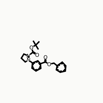 CC(C)(C)OC(=O)N1CCCN1c1cccc(C(=O)OCc2ccccc2)c1